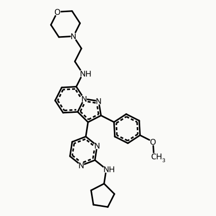 COc1ccc(-c2nn3c(NCCN4CCOCC4)cccc3c2-c2ccnc(NC3CCCC3)n2)cc1